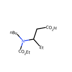 CCCCN(C(=O)OCC)C(CC)CC(=O)O